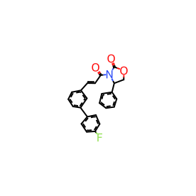 O=C(C=Cc1cccc(-c2ccc(F)cc2)c1)N1C(=O)OCC1c1ccccc1